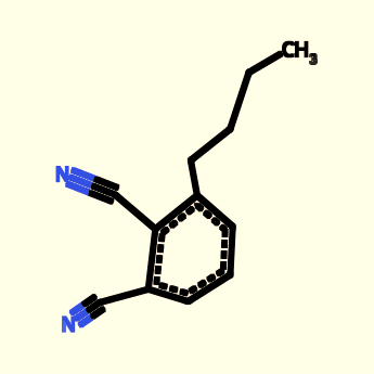 CCCCc1cccc(C#N)c1C#N